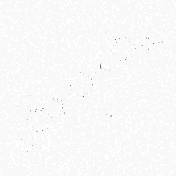 O=S(=O)(O)c1cc(S(=O)(=O)O)c2nc(-c3ccc(-c4nc5c(S(=O)(=O)O)cc(S(=O)(=O)O)cc5[nH]4)cc3)[nH]c2c1.[NaH].[NaH]